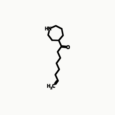 C=CCCCCCC(=O)C1CCCNCC1